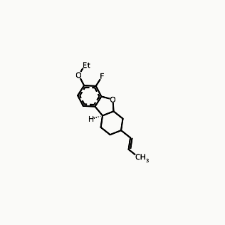 C/C=C/C1CC[C@H]2c3ccc(OCC)c(F)c3OC2C1